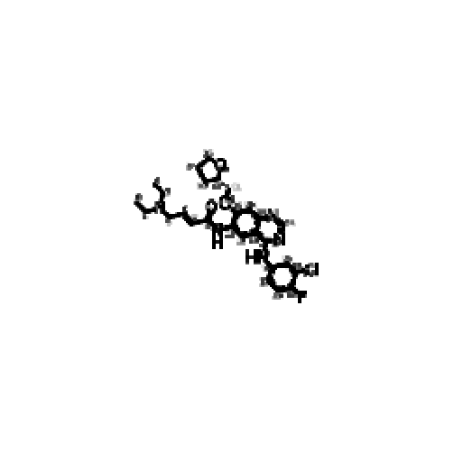 CCN(CC)C/C=C/C(=O)Nc1cc2c(Nc3ccc(F)c(Cl)c3)ncnc2cc1OC[C@@H]1CCCO1